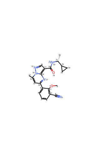 COc1c(C#N)cccc1-c1cc(C)n2ncc(C(=O)N[C@H](C)C3CC3)c2n1